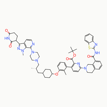 Cc1c(OC2CCC(C[C@H](C)CN3CCN(c4nccc5c(C6CCC(=O)NC6=O)nn(C)c45)CC3)CC2)cccc1-c1ccc(N2CCc3cccc(C(=O)Nc4nc5ccccc5s4)c3C2)nc1C(=O)OC(C)(C)C